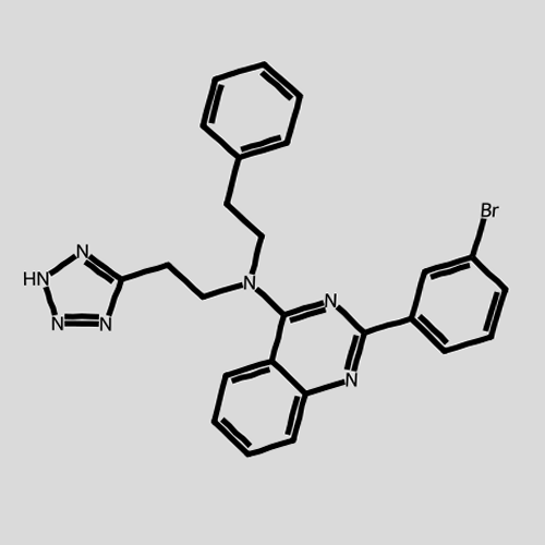 Brc1cccc(-c2nc(N(CCc3ccccc3)CCc3nn[nH]n3)c3ccccc3n2)c1